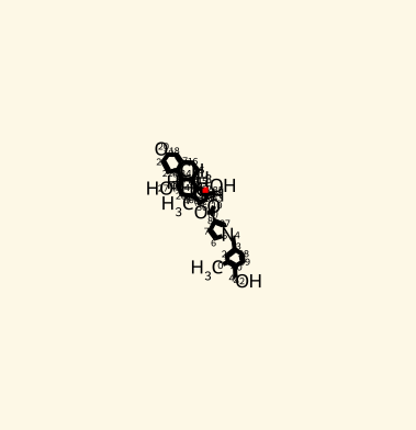 Cc1cc(Cn2ccc([C@@H]3O[C@@H]4C[C@H]5[C@@H]6CCC7=CC(=O)C=C[C@]7(C)[C@H]6[C@@H](O)C[C@]5(C)[C@]4(C(=O)CO)O3)c2)ccc1CO